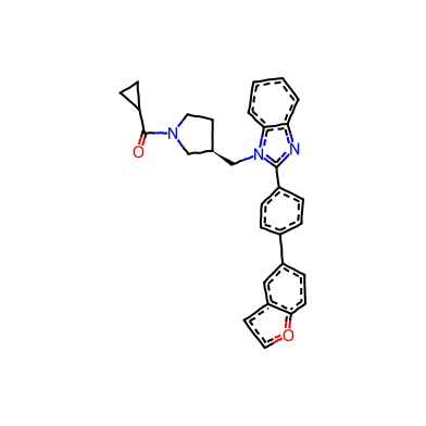 O=C(C1CC1)N1CC[C@@H](Cn2c(-c3ccc(-c4ccc5occc5c4)cc3)nc3ccccc32)C1